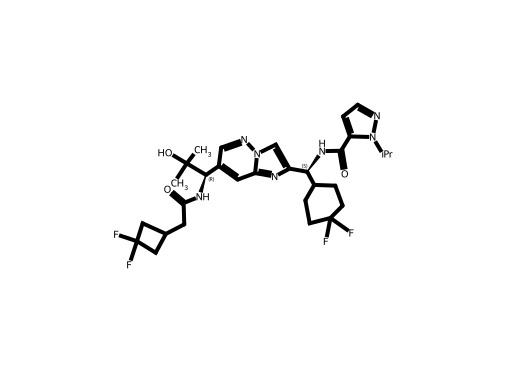 CC(C)n1nccc1C(=O)N[C@H](c1cn2ncc([C@@H](NC(=O)CC3CC(F)(F)C3)C(C)(C)O)cc2n1)C1CCC(F)(F)CC1